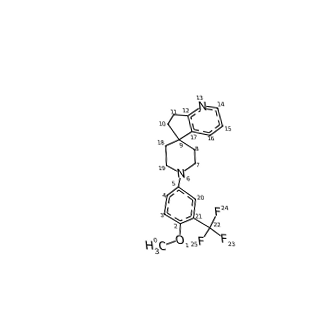 COc1ccc(N2CCC3(CCc4ncccc43)CC2)cc1C(F)(F)F